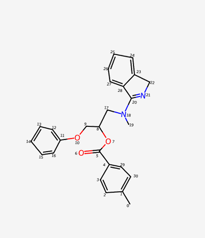 Cc1ccc(C(=O)OC(COc2ccccc2)CN(C)C2=NCc3ccccc32)cc1